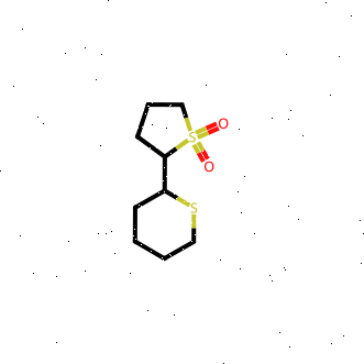 O=S1(=O)CCCC1C1CCCCS1